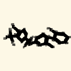 Cc1nc(NS(=O)(=O)c2ccc(F)c(C(F)(F)F)c2)ccc1-c1ccccc1F